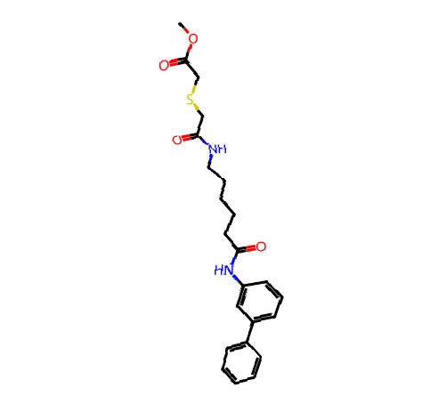 COC(=O)CSCC(=O)NCCCCCC(=O)Nc1cccc(-c2ccccc2)c1